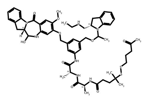 CCNC[C@@H]1Cc2ccccc2N1C(C)OCc1cc(COc2cc3c(cc2OC)C(=O)N2c4ccccc4C[C@H]2C(O)N3)cc(NC(=O)[C@@H](C)NC(=O)[C@H](C)NC(=O)CCC(C)(C)SSCCCC(C)=O)c1